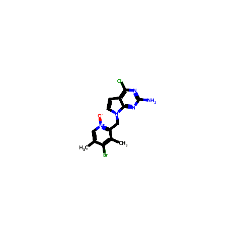 Cc1c[n+]([O-])c(Cn2ccc3c(Cl)nc(N)nc32)c(C)c1Br